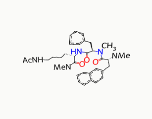 CNC(=O)[C@H](CCCCNC(C)=O)NC(=O)[C@@H](Cc1ccccc1)N(C)C(=O)[C@@H](Cc1ccc2ccccc2c1)NC